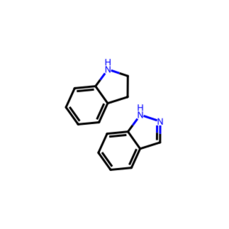 c1ccc2[nH]ncc2c1.c1ccc2c(c1)CCN2